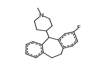 CN1CCC(C2c3ccccc3CCc3ccc(F)cc32)CC1